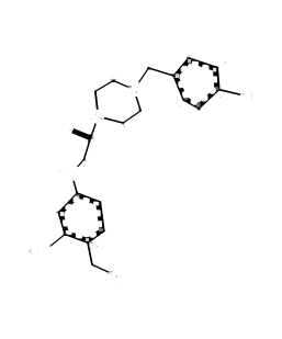 O=Cc1cc(OCC(=O)N2CCN(Cc3ccc(Cl)cc3)CC2)ccc1C[N+](=O)[O-]